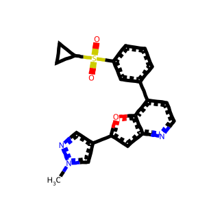 Cn1cc(-c2cc3nccc(-c4cccc(S(=O)(=O)C5CC5)c4)c3o2)cn1